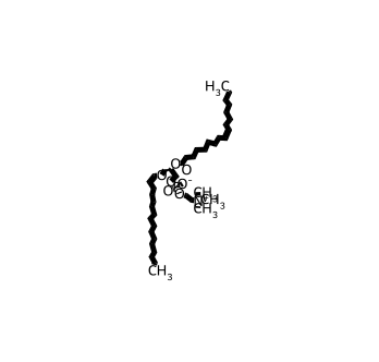 CCCCCCC/C=C\CCCCCCCC(=O)O[C@H](CO/C=C\CCCCCCCCCCCCCC)COP(=O)([O-])OCC[N+](C)(C)C